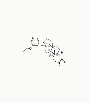 CCOc1cncc(C2=CC[C@H]3[C@@H]4CC[C@H]5CC(=O)N(C)CC[C@]5(C)[C@H]4CC[C@]23C)c1